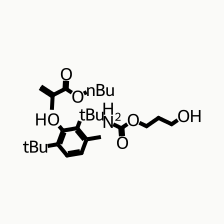 C=C(C)C(=O)OCCCC.Cc1ccc(C(C)(C)C)c(O)c1C(C)(C)C.NC(=O)OCCCO